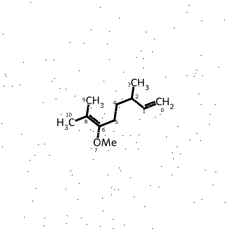 C=CC(C)CCC(OC)=C(C)C